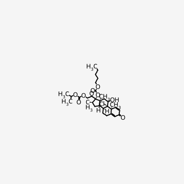 CCCCCOC(=O)O[C@]1(C(=O)COC(=O)OC(C)C)[C@H](C)C[C@H]2[C@@H]3CCC4=CC(=O)C=C[C@]4(C)[C@@]3(Cl)C(O)C[C@@]21C